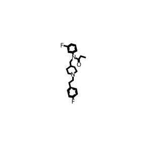 CCC(=O)N(CC1CCN(CCc2ccc(F)cc2)CC1)c1cccc(F)c1